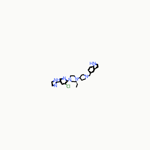 CC[C@H]1CN(c2ncc(-c3ncc[nH]3)cc2Cl)CCN1C1CCN(Cc2ccc3[nH]ccc3c2)CC1